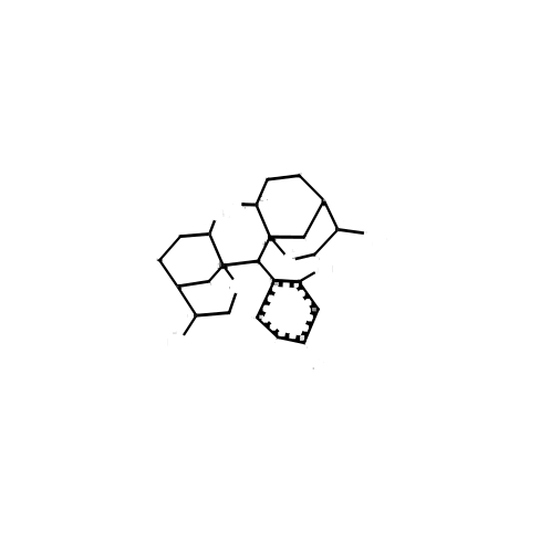 Cc1ccccc1C(C12CC(CCC1C)C(C)CP2)C12CC(CCC1C)C(C)CP2.[Pd]